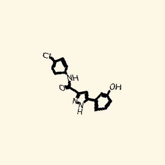 O=C(NC1C=CC(Cl)=CC1)c1cc(-c2cccc(O)c2)[nH]n1